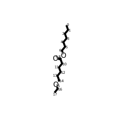 CCCCCCCOC(=O)CCCCCOCC